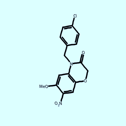 COc1cc2c(cc1[N+](=O)[O-])OCC(=O)N2Cc1ccc(Cl)cc1